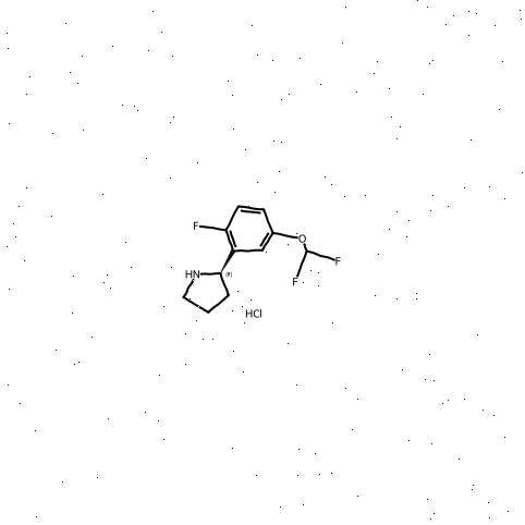 Cl.Fc1ccc(OC(F)F)cc1[C@H]1CCCN1